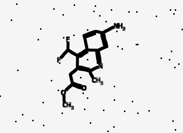 COC(=O)Cc1c(C)nc2cc(N)ccc2c1C(F)F